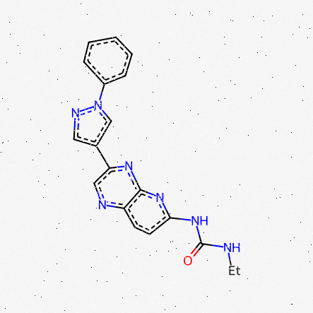 CCNC(=O)Nc1ccc2ncc(-c3cnn(-c4ccccc4)c3)nc2n1